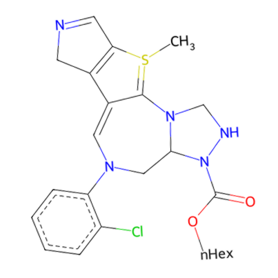 CCCCCCOC(=O)N1NCN2C3=S(C)C4=C(CN=C4)C3=CN(c3ccccc3Cl)CC21